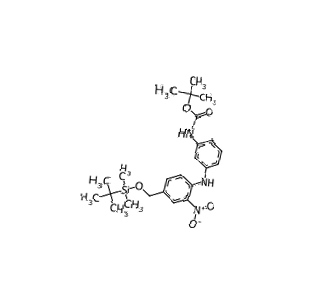 CC(C)(C)OC(=O)Nc1cccc(Nc2ccc(CO[Si](C)(C)C(C)(C)C)cc2[N+](=O)[O-])c1